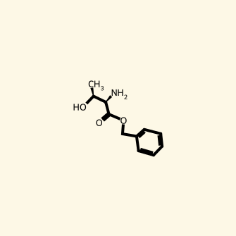 C[C@H](O)[C@@H](N)C(=O)OCc1ccccc1